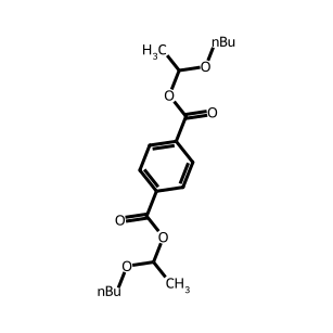 CCCCOC(C)OC(=O)c1ccc(C(=O)OC(C)OCCCC)cc1